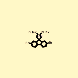 CCCCCC/C=C/C1(/C=C/CCCCCC)c2cc(Br)ccc2-c2ccc(Br)cc21